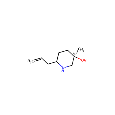 C=CCC1CC[C@@](C)(O)CN1